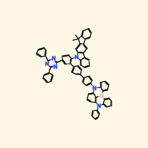 CC1(C)c2ccccc2-c2cc3c4ccccc4n(-c4ccc(-c5nc(-c6ccccc6)nc(-c6ccccc6)n5)cc4-c4ccc(-c5ccc(N6c7ccccc7B7c8ccccc8N(c8ccccc8)c8cccc6c87)cc5)cc4)c3cc21